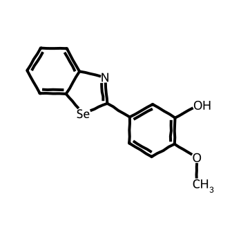 COc1ccc(-c2nc3ccccc3[se]2)cc1O